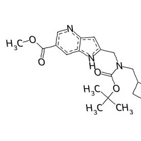 COC(=O)c1cnc2cc(CN(CC3CCC3)C(=O)OC(C)(C)C)[nH]c2c1